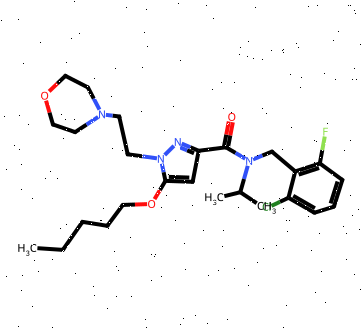 CCCCCOc1cc(C(=O)N(Cc2c(F)cccc2Cl)C(C)C)nn1CCN1CCOCC1